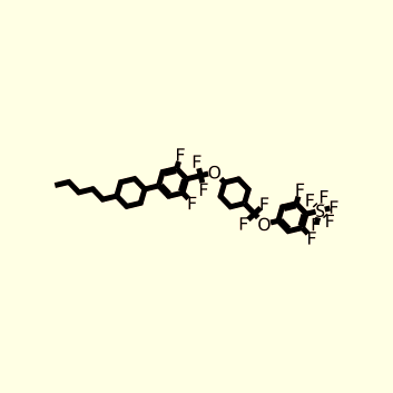 CCCCCC1CCC(c2cc(F)c(C(F)(F)OC3CCC(C(F)(F)Oc4cc(F)c(S(F)(F)(F)(F)F)c(F)c4)CC3)c(F)c2)CC1